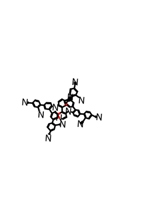 N#Cc1ccc(-c2ccc3c(c2)c2cc(-c4ccc(C#N)cc4C#N)ccc2n3-c2ccncc2-c2cc(C#N)ccc2-n2c3ccc(-c4ccc(C#N)cc4C#N)cc3c3cc(-c4ccc(C#N)cc4C#N)ccc32)c(C#N)c1